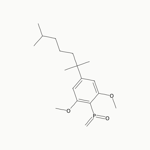 C=P(=O)c1c(OC)cc(C(C)(C)CCCC(C)C)cc1OC